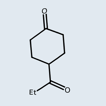 CCC(=O)C1CCC(=O)CC1